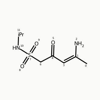 C/C(N)=C/C(=O)CS(=O)(=O)NC(C)C